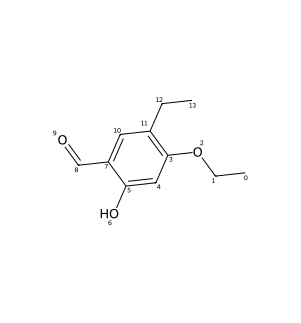 CCOc1cc(O)c(C=O)cc1CC